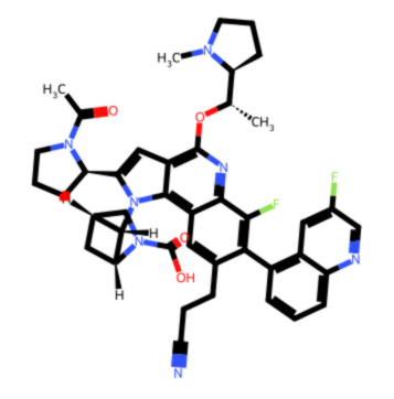 CC(=O)N1CCC[C@@H]1c1cc2c(O[C@@H](C)[C@@H]3CCCN3C)nc3c(F)c(-c4cccc5ncc(F)cc45)c(CCC#N)cc3c2n1[C@H]1[C@@H]2C[C@H]1N(C(=O)O)C2